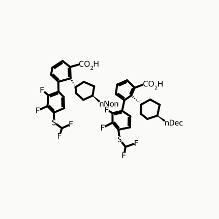 CCCCCCCCCC[C@H]1CC[C@H](c2c(C(=O)O)cccc2-c2ccc(SC(F)F)c(F)c2F)CC1.CCCCCCCCC[C@H]1CC[C@H](c2c(C(=O)O)cccc2-c2ccc(SC(F)F)c(F)c2F)CC1